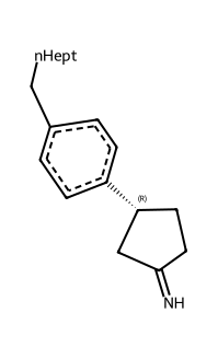 CCCCCCCCc1ccc([C@@H]2CCC(=N)C2)cc1